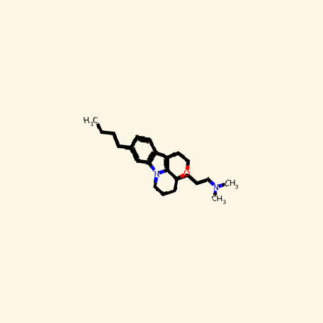 CCCCc1ccc2c3c4n(c2c1)CCCC4(CCCN(C)C)OCC3